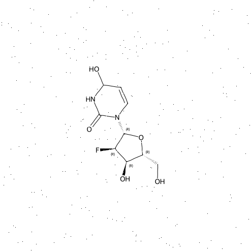 O=C1NC(O)C=CN1[C@@H]1O[C@H](CO)[C@@H](O)[C@H]1F